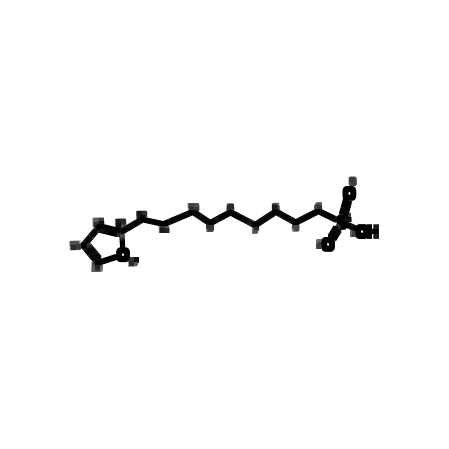 O=S(=O)(O)CCCCCCCCCc1ccco1